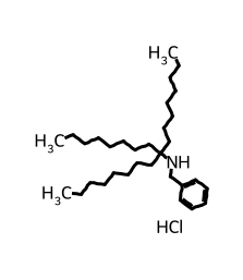 CCCCCCCCC(CCCCCCCC)(CCCCCCCC)NCc1ccccc1.Cl